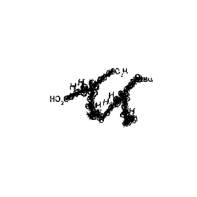 CN(CCN(CCN(C)C(=O)CCOCCOCCC(=O)O)C(=O)CCOCCNC(=O)OCC1c2ccccc2-c2ccccc21)C(=O)CCOCCOCCOCCC(=O)O.CN(CCN(CCN(C)C(=O)CCOCCOCCC(=O)OC(C)(C)C)C(=O)CCOCCNC(=O)OCC1c2ccccc2-c2ccccc21)C(=O)CCOCCOCCOCCC(=O)OC(C)(C)C